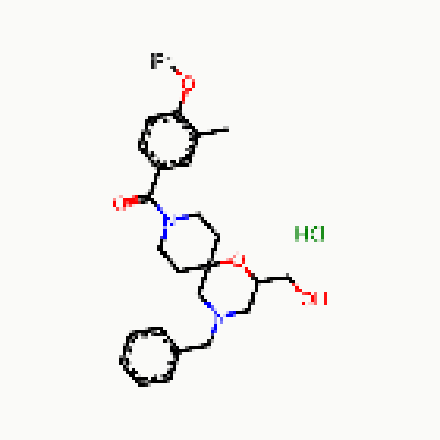 Cc1cc(C(=O)N2CCC3(CC2)CN(Cc2ccccc2)CC(CO)O3)ccc1OC(C)C.Cl